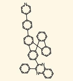 c1ccc(-c2nc3ccccc3nc2-c2ccc3c(c2)C2(c4ccccc4-c4ccccc42)c2cc(-c4ccc(-c5ccncc5)cc4)ccc2-3)cc1